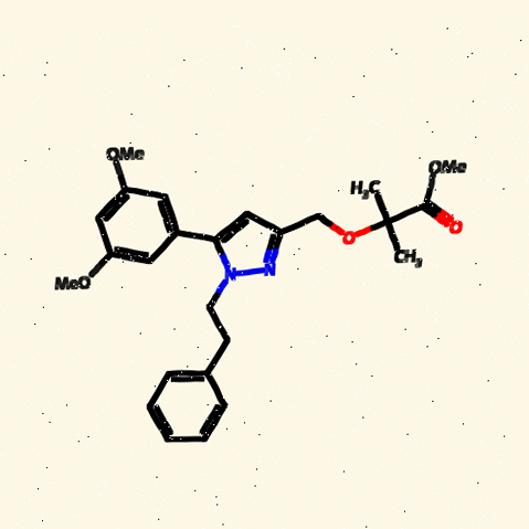 COC(=O)C(C)(C)OCc1cc(-c2cc(OC)cc(OC)c2)n(CCc2ccccc2)n1